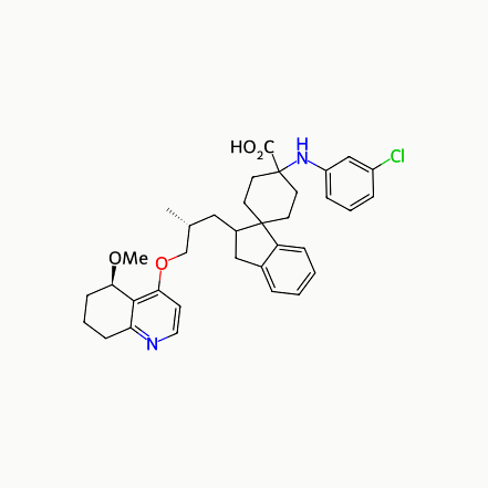 CO[C@@H]1CCCc2nccc(OC[C@H](C)CC3Cc4ccccc4C34CCC(Nc3cccc(Cl)c3)(C(=O)O)CC4)c21